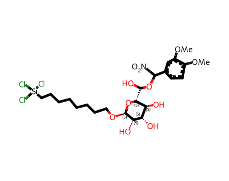 COc1ccc(C(OC(O)[C@H]2O[C@H](OCCCCCCCC[Si](Cl)(Cl)Cl)[C@@H](O)[C@@H](O)[C@@H]2O)[N+](=O)[O-])cc1OC